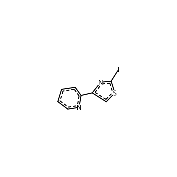 Ic1nc(-c2ccccn2)cs1